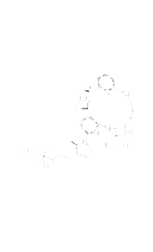 CC(C)(C)CCC[C@H]1CCN(c2ccc3c(n2)N2C[C@@H](CCCNc4cccc(n4)S(=O)(=O)NC3=O)CC2(C)C)C1=O